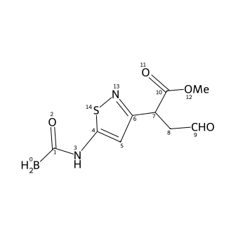 BC(=O)Nc1cc(C(CC=O)C(=O)OC)ns1